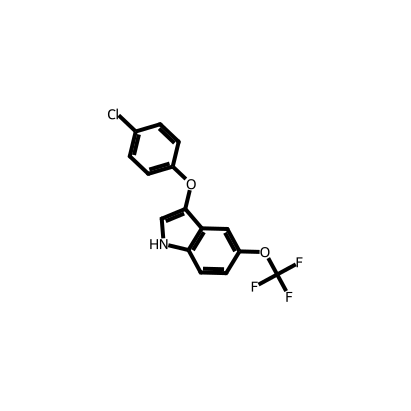 FC(F)(F)Oc1ccc2[nH]cc(Oc3ccc(Cl)cc3)c2c1